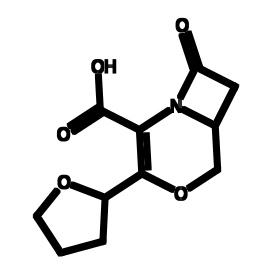 O=C(O)C1=C(C2CCCO2)OCC2CC(=O)N12